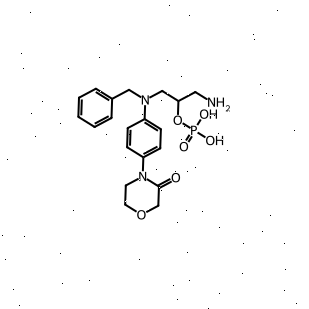 NCC(CN(Cc1ccccc1)c1ccc(N2CCOCC2=O)cc1)OP(=O)(O)O